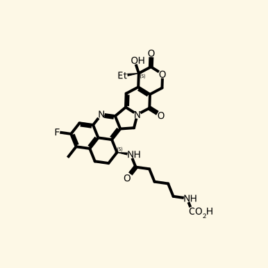 CC[C@@]1(O)C(=O)OCc2c1cc1n(c2=O)Cc2c-1nc1cc(F)c(C)c3c1c2[C@@H](NC(=O)CCCCNC(=O)O)CC3